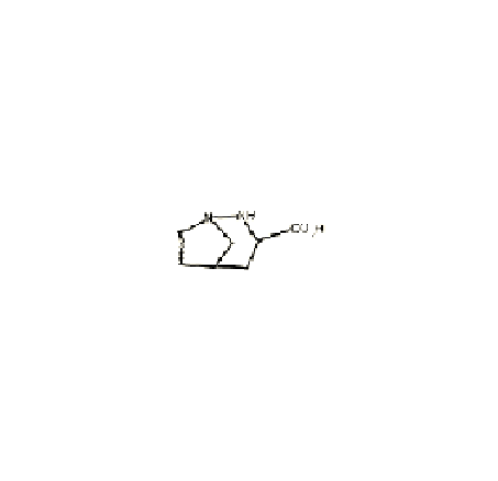 O=C(O)C1CC2CCN(C2)N1